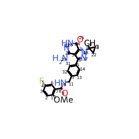 COc1ccc(F)cc1C(=O)NCc1ccc(-c2nn(C3(C)CC3)c3c(=O)[nH]nc(N)c23)cc1